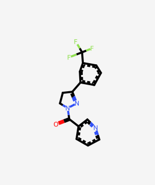 O=C(c1cccnc1)N1CCC(c2cccc(C(F)(F)F)c2)=N1